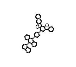 c1ccc2cc3c(cc2c1)oc1c(-c2ccc(-c4c5ccccc5c(-c5cccc6ccccc56)c5ccccc45)cc2)cc2c4ccccc4oc2c13